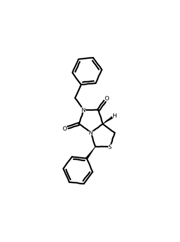 O=C1[C@@H]2CS[C@@H](c3ccccc3)N2C(=O)N1Cc1ccccc1